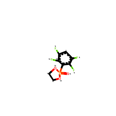 O=P1(c2c(F)c(F)cc(F)c2F)OCCO1